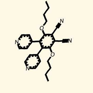 CCCCOc1c(C#N)c(C#N)c(OCCCC)c(-c2ccncc2)c1-c1ccncc1